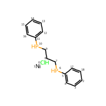 Cl.[Ni].c1ccc(PCCCPc2ccccc2)cc1